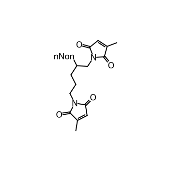 CCCCCCCCCC(CCCN1C(=O)C=C(C)C1=O)CN1C(=O)C=C(C)C1=O